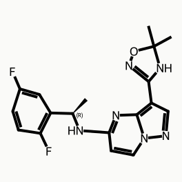 C[C@@H](Nc1ccn2ncc(C3=NOC(C)(C)N3)c2n1)c1cc(F)ccc1F